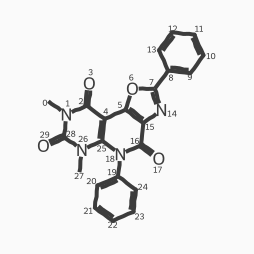 Cn1c(=O)c2c3oc(-c4ccccc4)nc3c(=O)n(-c3ccccc3)c2n(C)c1=O